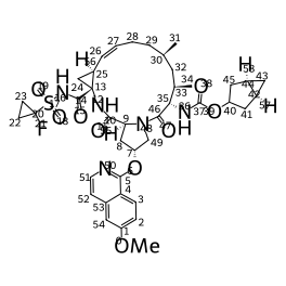 COc1ccc2c(O[C@@H]3C[C@H]4C(=O)N[C@]5(C(=O)NS(=O)(=O)C6(F)CC6)C[C@H]5/C=C\CC[C@@H](C)C[C@@H](C)[C@H](NC(=O)OC5C[C@@H]6C[C@@H]6C5)C(=O)N4C3)nccc2c1